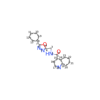 O=C(NCc1nnc(-c2ccccc2)o1)c1ccnc2ccccc12